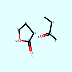 CCC(C)=O.O=C1CCCO1